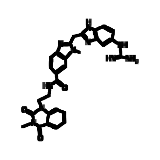 Cn1c(=O)c2ccccc2n(CCNC(=O)c2ccc3nc(Cc4nc5cc(NC(=N)N)ccc5[nH]4)n(C)c3c2)c1=O